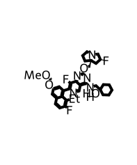 CCc1c(F)ccc2cc(OCOC)cc(-c3ncc4c(NCC5(O)CCCCC5)nc(OC[C@@]56CCCN5C[C@H](F)C6)nc4c3F)c12